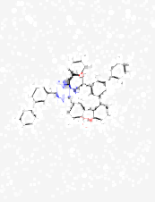 c1ccc(-c2cccc(-c3nc(-c4ccccc4)nc(-c4ccc5oc6cccc(-c7cc(-c8ccccc8)cc(-c8ccccc8)c7)c6c5c4)n3)c2)cc1